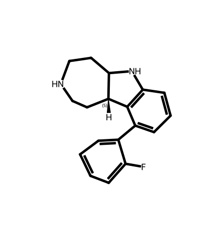 Fc1ccccc1-c1cccc2c1[C@@H]1CCNCCC1N2